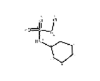 O=S(=O)(NC1CCCCS1)OCl